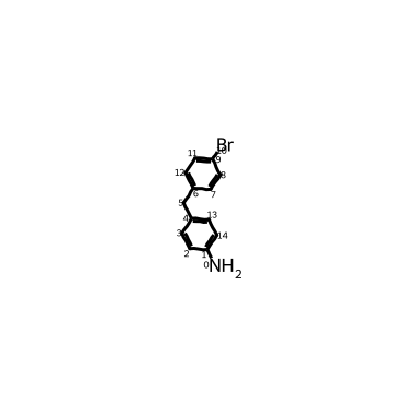 Nc1ccc(Cc2ccc(Br)cc2)cc1